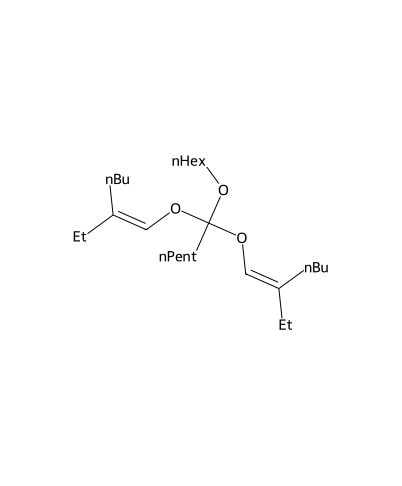 CCCCCCOC(CCCCC)(OC=C(CC)CCCC)OC=C(CC)CCCC